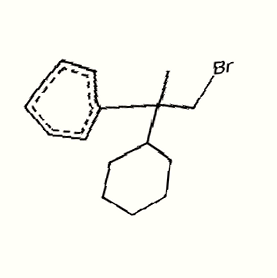 CC(CBr)(c1ccccc1)C1CCCCC1